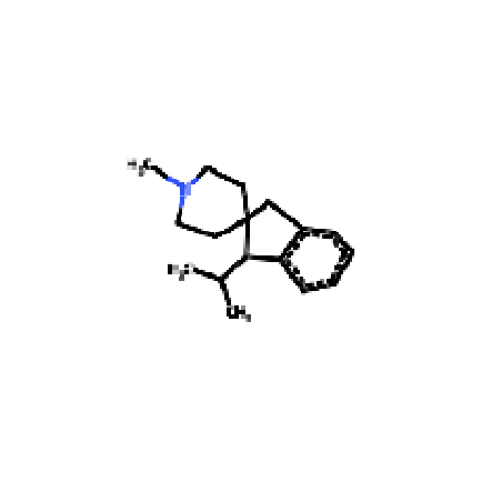 CC(C)C1c2ccccc2CC12CCN(C)CC2